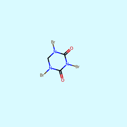 O=C1N(Br)CN(Br)C(=O)N1Br